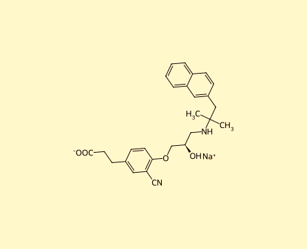 CC(C)(Cc1ccc2ccccc2c1)NC[C@@H](O)COc1ccc(CCC(=O)[O-])cc1C#N.[Na+]